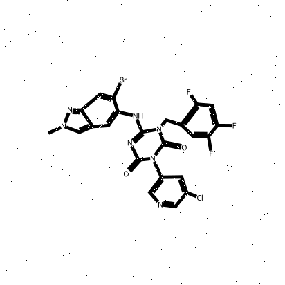 Cn1cc2cc(Nc3nc(=O)n(-c4cncc(Cl)c4)c(=O)n3Cc3cc(F)c(F)cc3F)c(Br)cc2n1